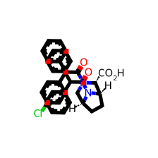 O=C(O)[C@@H]1[C@H]2CC[C@@H](CN1C(=O)C(c1ccccc1)c1ccc(Cl)cc1)N2C(=O)C(c1ccccc1)c1ccccc1